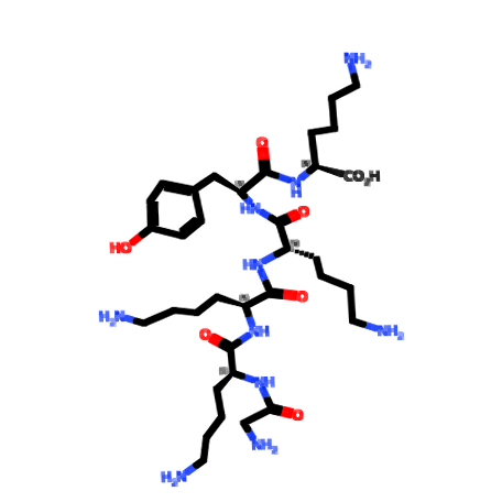 NCCCC[C@H](NC(=O)[C@H](Cc1ccc(O)cc1)NC(=O)[C@H](CCCCN)NC(=O)[C@H](CCCCN)NC(=O)[C@H](CCCCN)NC(=O)CN)C(=O)O